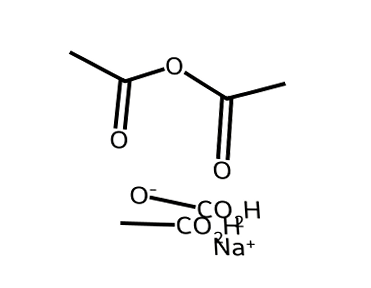 CC(=O)O.CC(=O)OC(C)=O.O=C([O-])O.[Na+]